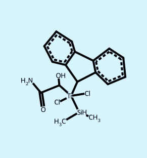 C[SiH](C)[Ti]([Cl])([Cl])([CH](O)C(N)=O)[CH]1c2ccccc2-c2ccccc21